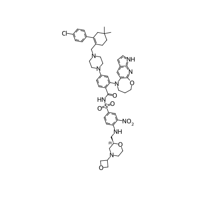 CC1(C)CCC(CN2CCN(c3ccc(C(=O)NS(=O)(=O)c4ccc(NC[C@@H]5CN(C6COC6)CCO5)c([N+](=O)[O-])c4)c(N4CCCOc5nc6[nH]ccc6cc54)c3)CC2)=C(c2ccc(Cl)cc2)C1